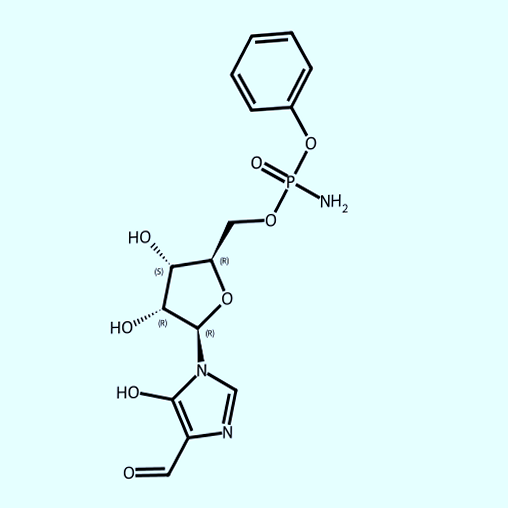 NP(=O)(OC[C@H]1O[C@@H](n2cnc(C=O)c2O)[C@H](O)[C@@H]1O)Oc1ccccc1